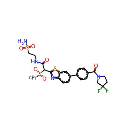 CCCS(=O)(=O)C(C(=O)NCCS(N)(=O)=O)c1nc2ccc(-c3ccc(C(=O)N4CCC(F)(F)C4)cc3)cc2s1